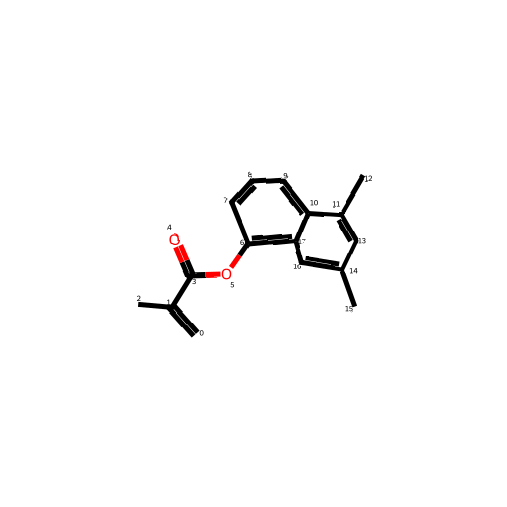 C=C(C)C(=O)Oc1cccc2c(C)cc(C)cc12